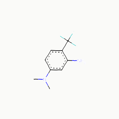 CN(C)c1ccc(C(F)(F)F)c(N)c1